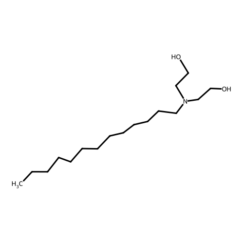 CCCCCCCCCCCCCN(CCO)CCO